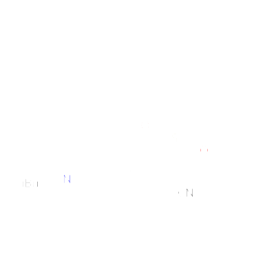 CCC(C)N1C(C)=CC(=C(C#N)S(=O)(=O)c2ccc(C)cc2)C=C1C